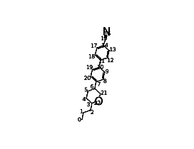 CCCC1CCC(c2ccc(-c3ccc(C#N)cc3)cc2)CO1